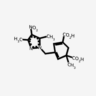 Cc1nn(CC2=CC(C)(C(=O)O)CC(C(=O)O)=C2)c(C)c1[N+](=O)[O-]